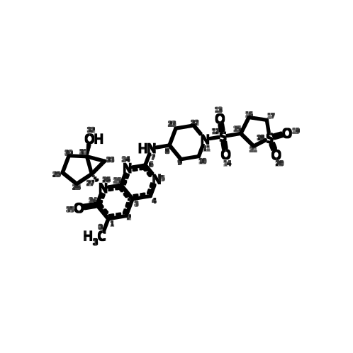 Cc1cc2cnc(NC3CCN(S(=O)(=O)C4CCS(=O)(=O)C4)CC3)nc2n([C@]23CCC[C@]2(O)C3)c1=O